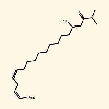 CCCCC/C=C\C/C=C\CCCCCCCCC/C(=C/C(=O)N(C)C)CCCCCCCCC